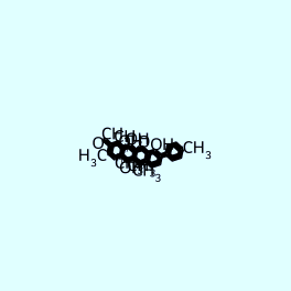 C=C1C(C(C)=O)=C(C)C[C@@]2(C)[C@H](O)[C@]3(C)C(=C(O)[C@@]12O)C(=O)c1c(ccc(-c2ccc(C)cc2)c1O)[C@H]3C